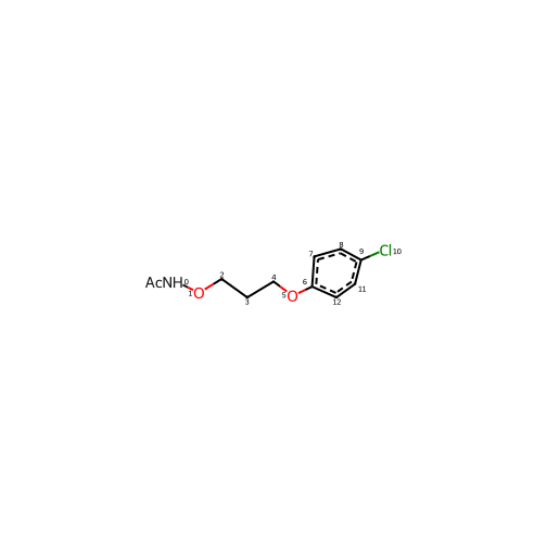 CC(=O)NOCCCOc1ccc(Cl)cc1